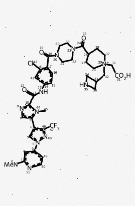 CNc1cc(-n2cc(-c3cnc(C(=O)Nc4ccc(C(=O)N5CCN(C(=O)C6CC[N+](CC(=O)O)(CC7CNC7)CC6)CC5)c(Cl)c4)n3C)c(C(F)(F)F)n2)ccn1